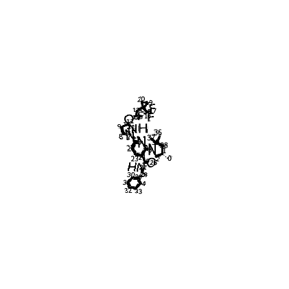 C[C@@H]1CN(c2nc(N3C=CC(OCCC4(C(F)(F)F)CC4)N3)ccc2C(=O)NSc2ccccc2)C(C)(C)C1